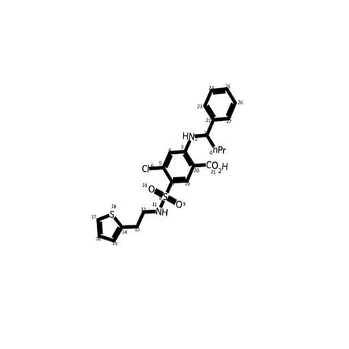 CCCC(Nc1cc(Cl)c(S(=O)(=O)NCCc2cccs2)cc1C(=O)O)c1ccccc1